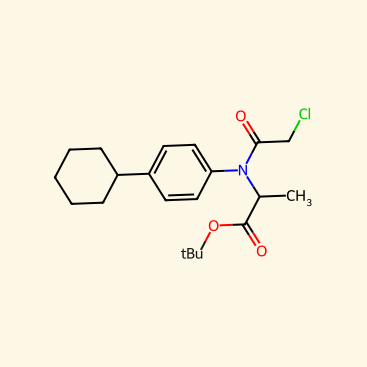 CC(C(=O)OC(C)(C)C)N(C(=O)CCl)c1ccc(C2CCCCC2)cc1